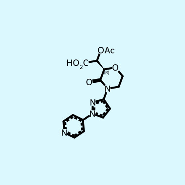 CC(=O)OC(C(=O)O)[C@H]1OCCN(c2ccn(-c3ccncc3)n2)C1=O